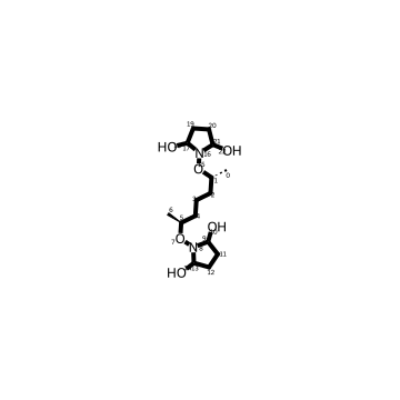 C[C@H](CCC[C@H](C)ON1C(O)CCC1O)ON1C(O)CCC1O